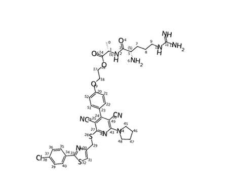 C[C@H](NC(=O)[C@@H](N)CCCNC(=N)N)C(=O)OCCOc1ccc(-c2c(C#N)c(SCc3csc(-c4ccc(Cl)cc4)n3)nc(N3CCCC3)c2C#N)cc1